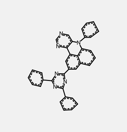 c1ccc(-c2nc(-c3ccccc3)nc(-c3cc4c5c(cccc5c3)N(c3ccccc3)c3cncnc3-4)n2)cc1